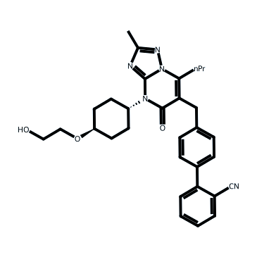 CCCc1c(Cc2ccc(-c3ccccc3C#N)cc2)c(=O)n([C@H]2CC[C@H](OCCO)CC2)c2nc(C)nn12